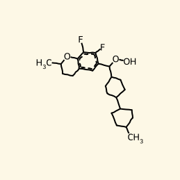 CC1CCC(C2CCC(C(OO)c3cc4c(c(F)c3F)OC(C)CC4)CC2)CC1